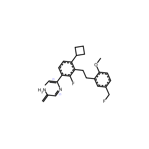 C=C(N)/C=N\C(=C/C)c1ccc(C2CCC2)c(CCc2cc(CF)ccc2OC)c1F